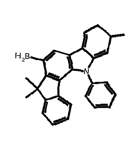 Bc1cc2c3c(n(-c4ccccc4)c2c2c1C(C)(C)c1ccccc1-2)=CC(C)CC=3